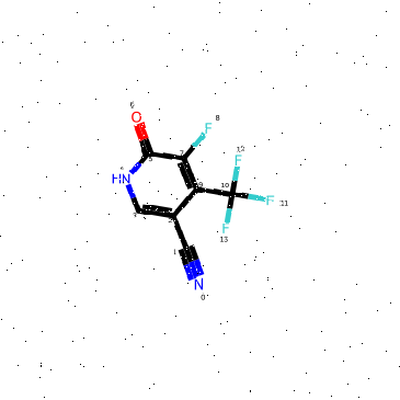 N#Cc1c[nH]c(=O)c(F)c1C(F)(F)F